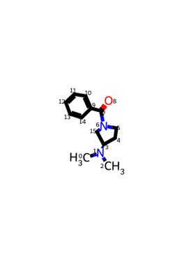 CN(C)[C@@H]1CCN(C(=O)c2ccccc2)C1